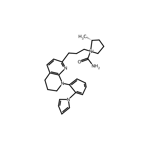 C[C@@H]1CCC[N+]1(CCCc1ccc2c(n1)N(c1ccccc1-n1cccc1)CCC2)C(N)=O